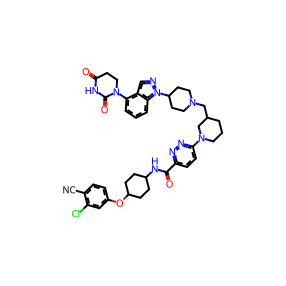 N#Cc1ccc(OC2CCC(NC(=O)c3ccc(N4CCCC(CN5CCC(n6ncc7c(N8CCC(=O)NC8=O)cccc76)CC5)C4)nn3)CC2)cc1Cl